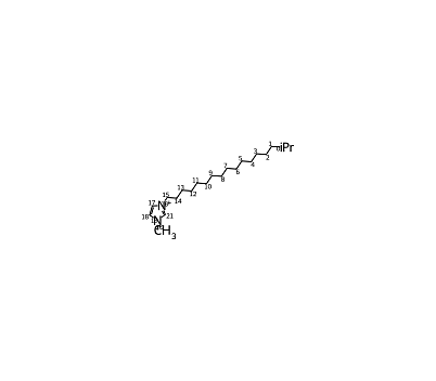 CC(C)CCCCCCCCCCCCCCC[n+]1ccn(C)c1